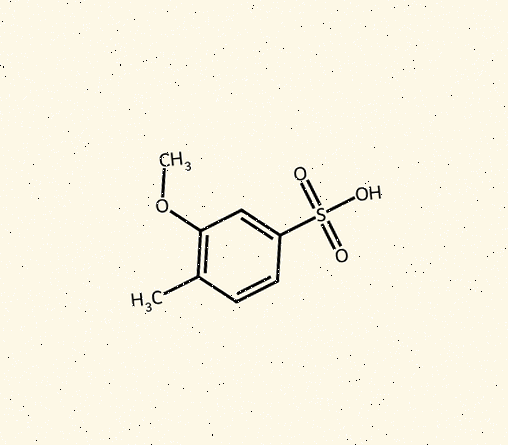 COc1cc(S(=O)(=O)O)ccc1C